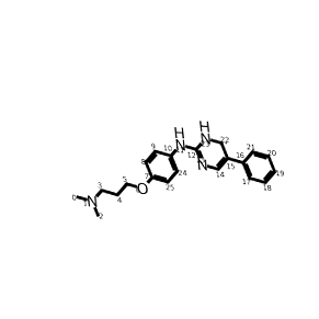 CN(C)CCCOc1ccc(NC2=NC=C(c3ccccc3)[CH]N2)cc1